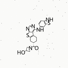 O=C([C@H]1CCc2c(sc3ncnc(Nc4ccc5[nH]sc5c4)c23)C1)N1CC(O)C1